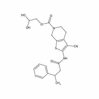 CC(CC(=O)Nc1sc2c(c1C#N)CCN(C(=O)OCC(O)O)C2)c1ccccc1